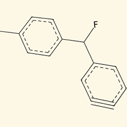 Cc1ccc(C(F)c2cc#ccc2)cc1